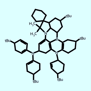 CC(C)(C)C1C=CC(N(C2=CCC(C(C)(C)C)CC2)C2C=C3C4=C(C2)N(C2C=CC(C(C)(C)C)CC2)C2=C(CC(C(C)(C)C)CC2)B4C2CC(C(C)(C)C)CC4C2N3C(C)(C)C42CCCCC2)=CC1